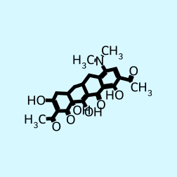 CC(=O)C1=C(O)CC2CC3Cc4c(N(C)C)cc(C(C)=O)c(O)c4C(=O)C3=C(O)C2(O)C1=O